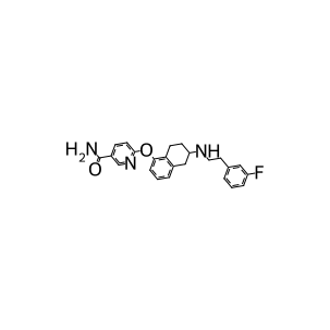 NC(=O)c1ccc(Oc2cccc3c2CCC(NCCc2cccc(F)c2)C3)nc1